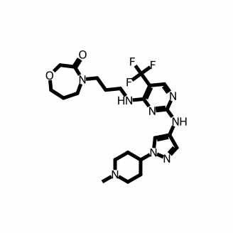 CN1CCC(n2cc(Nc3ncc(C(F)(F)F)c(NCCCN4CCCOCC4=O)n3)cn2)CC1